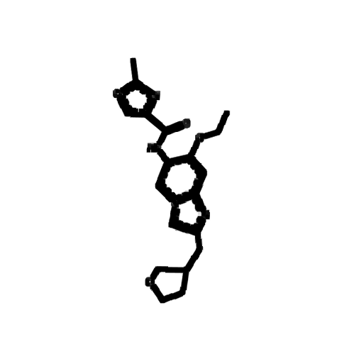 CCOc1cc2nc(CC3CCOC3)cn2cc1NC(=O)c1coc(C)n1